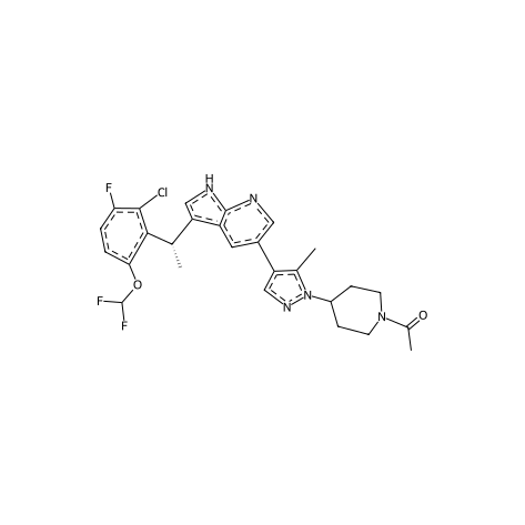 CC(=O)N1CCC(n2ncc(-c3cnc4[nH]cc([C@H](C)c5c(OC(F)F)ccc(F)c5Cl)c4c3)c2C)CC1